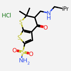 CC(C)CNCC1C(=O)c2cc(S(N)(=O)=O)sc2SC1(C)C.Cl